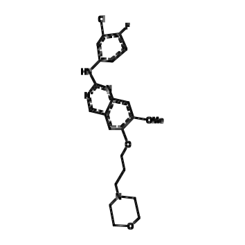 COc1cc2nc(Nc3ccc(F)c(Cl)c3)ncc2cc1OCCCN1CCOCC1